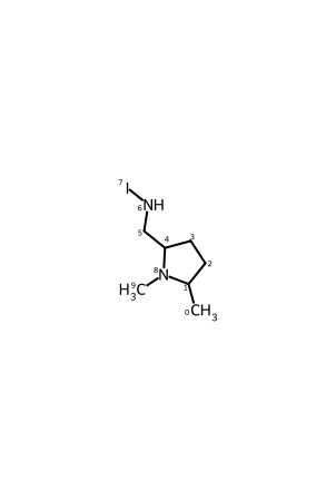 CC1CCC(CNI)N1C